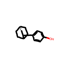 Oc1ccc(C2CC3CCC2CC3)cc1